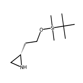 CC(C)(C)[Si](C)(C)OCC[C@H]1CN1